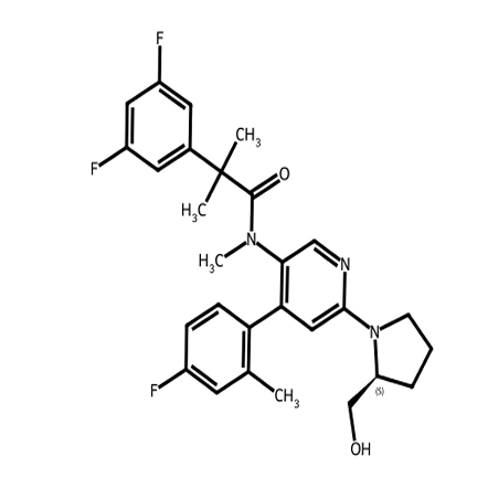 Cc1cc(F)ccc1-c1cc(N2CCC[C@H]2CO)ncc1N(C)C(=O)C(C)(C)c1cc(F)cc(F)c1